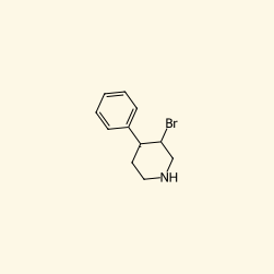 BrC1CNCC[C]1c1ccccc1